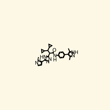 Cc1n[nH]c(C)c1-c1ccc(NC(=O)C(c2nnc(-c3ccnn3C)[nH]2)C(C2CC2)C2CC2)cc1